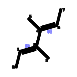 C/C=C(C)/C(C)=C/C